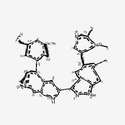 Cc1cc2[nH]nc(-c3cc4c(-c5cccc(F)c5)cncc4[nH]3)c2cc1-c1cnc(C)n1C